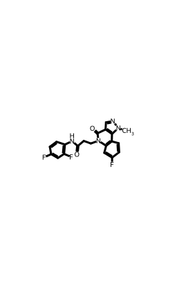 Cn1ncc2c(=O)n(CCC(=O)Nc3ccc(F)cc3F)c3cc(F)ccc3c21